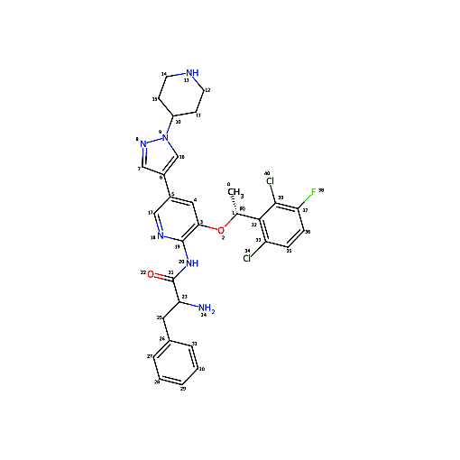 C[C@@H](Oc1cc(-c2cnn(C3CCNCC3)c2)cnc1NC(=O)C(N)Cc1ccccc1)c1c(Cl)ccc(F)c1Cl